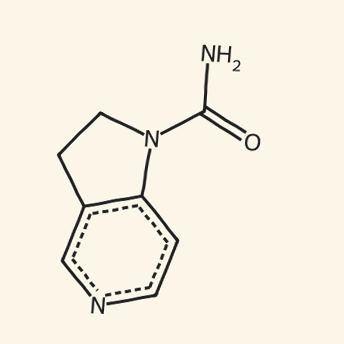 NC(=O)N1CCc2cnccc21